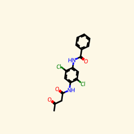 CC(=O)CC(=O)Nc1cc(Cl)c(NC(=O)c2ccccc2)cc1Cl